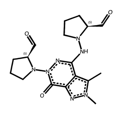 Cc1c2c(NN3CCC[C@H]3C=O)nn(N3CCC[C@H]3C=O)c(=O)c2nn1C